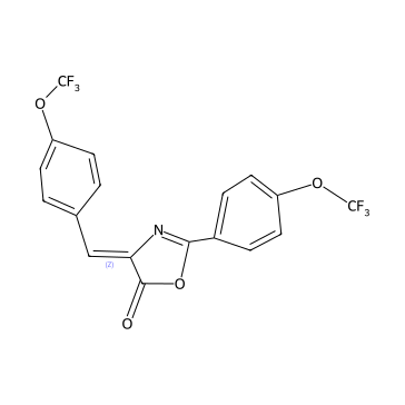 O=C1OC(c2ccc(OC(F)(F)F)cc2)=N/C1=C\c1ccc(OC(F)(F)F)cc1